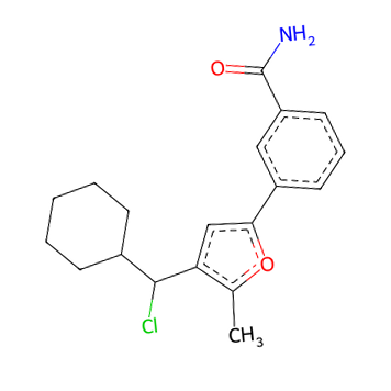 Cc1oc(-c2cccc(C(N)=O)c2)cc1C(Cl)C1CCCCC1